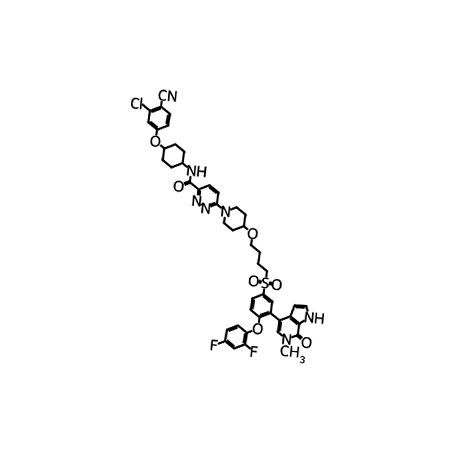 Cn1cc(-c2cc(S(=O)(=O)CCCCOC3CCN(c4ccc(C(=O)NC5CCC(Oc6ccc(C#N)c(Cl)c6)CC5)nn4)CC3)ccc2Oc2ccc(F)cc2F)c2cc[nH]c2c1=O